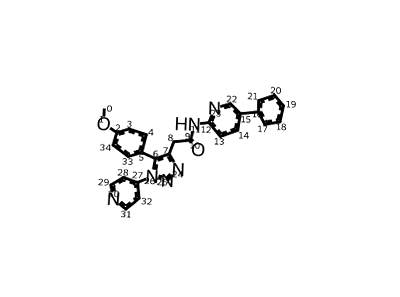 COc1ccc(-c2c(CC(=O)Nc3ccc(-c4ccccc4)cn3)nnn2-c2ccncc2)cc1